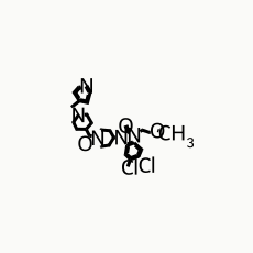 COCCn1c(=O)n(C2CCN(C(=O)C3CCN(Cc4ccncc4)CC3)CC2)c2cc(Cl)c(Cl)cc21